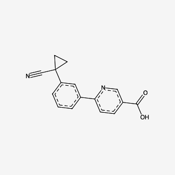 N#CC1(c2cccc(-c3ccc(C(=O)O)cn3)c2)CC1